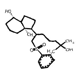 CC(C)(O)CCCC(CS(=O)(=O)c1ccccc1)C1CCC2[C@@H](O)CCC[C@]12C